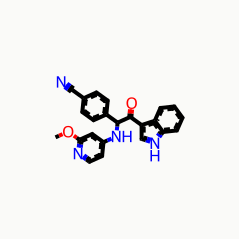 COc1cc(NC(C(=O)c2c[nH]c3ccccc23)c2ccc(C#N)cc2)ccn1